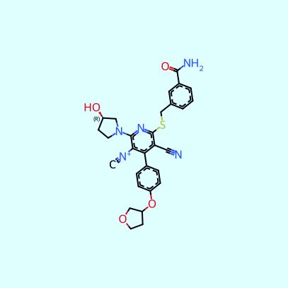 [C-]#[N+]c1c(N2CC[C@@H](O)C2)nc(SCc2cccc(C(N)=O)c2)c(C#N)c1-c1ccc(OC2CCOC2)cc1